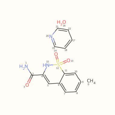 C.NC(=O)C1=Cc2ccccc2S(=O)(=O)N1.O.c1ccncc1